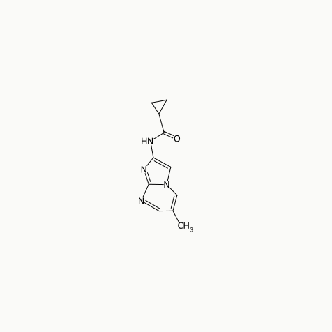 Cc1cnc2nc(NC(=O)C3CC3)cn2c1